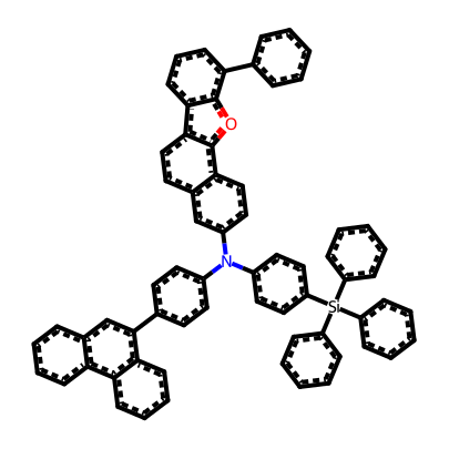 c1ccc(-c2cccc3c2oc2c4ccc(N(c5ccc(-c6cc7ccccc7c7ccccc67)cc5)c5ccc([Si](c6ccccc6)(c6ccccc6)c6ccccc6)cc5)cc4ccc32)cc1